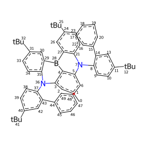 Cc1cc2c3c(c1)N(c1ccc(C(C)(C)C)cc1-c1ccccc1)c1ccc(C(C)(C)C)cc1B3c1cc(C(C)(C)C)ccc1N2c1ccc(C(C)(C)C)cc1-c1ccccc1